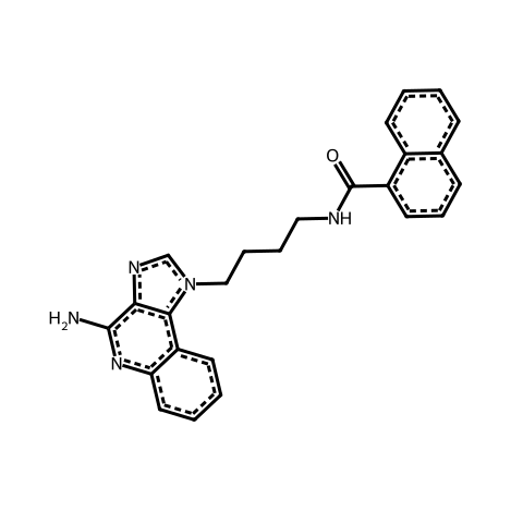 Nc1nc2ccccc2c2c1ncn2CCCCNC(=O)c1cccc2ccccc12